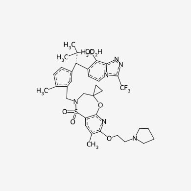 Cc1ccc([C@@H](c2ccn3c(C(F)(F)F)nnc3c2C)C(C)(C)C(=O)O)cc1CN1CC2(CC2)Oc2nc(OCCN3CCCC3)c(C)cc2S1(=O)=O